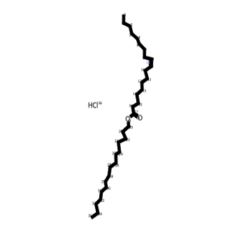 CCCCCCCC/C=C\CCCCCCCC(=O)OCCCCCCCCCCCCCCCC.Cl